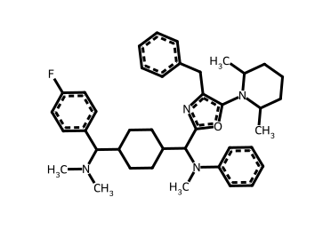 CC1CCCC(C)N1c1oc(C(C2CCC(C(c3ccc(F)cc3)N(C)C)CC2)N(C)c2ccccc2)nc1Cc1ccccc1